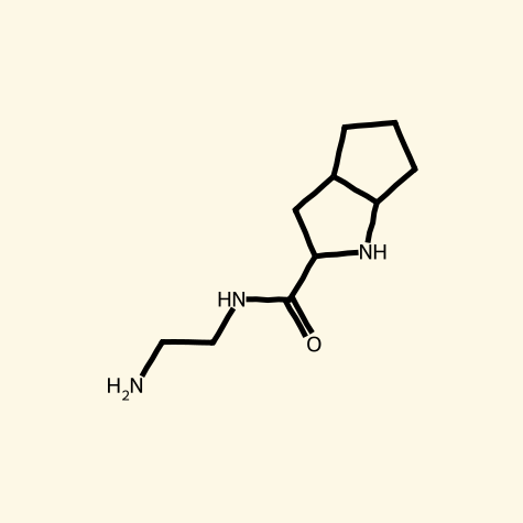 NCCNC(=O)C1CC2CCCC2N1